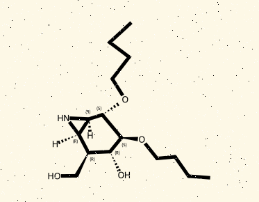 CCCCO[C@H]1[C@H](O)[C@@H](CO)[C@H]2N[C@H]2[C@@H]1OCCCC